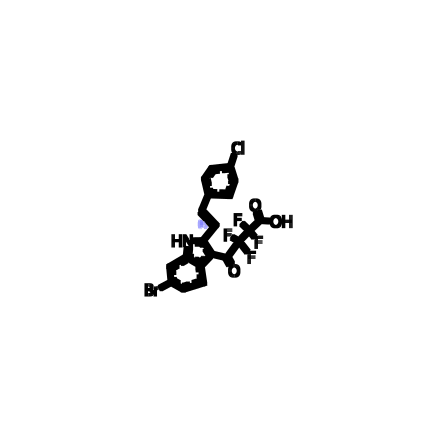 O=C(O)C(F)(F)C(F)(F)C(=O)c1c(/C=C/c2ccc(Cl)cc2)[nH]c2cc(Br)ccc12